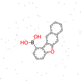 OB(O)c1cccc2oc3cc4ccccc4cc3c12